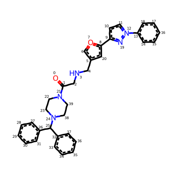 O=C(CNCc1coc(-c2ccn(-c3ccccc3)n2)c1)N1CCN(C(c2ccccc2)c2ccccc2)CC1